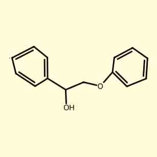 OC(COc1ccccc1)c1cc[c]cc1